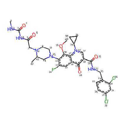 CNC(=O)NC(=O)CN1CCN(c2c(F)cc3c(=O)c(C(=O)NCc4ccc(Cl)cc4Cl)cn(C4CC4)c3c2OC)CC1C